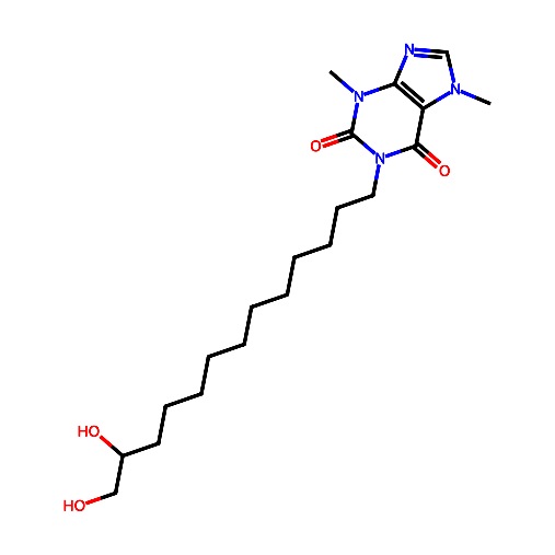 Cn1cnc2c1c(=O)n(CCCCCCCCCCCC(O)CO)c(=O)n2C